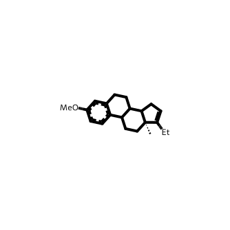 CCC1=CCC2C3CCc4cc(OC)ccc4C3CC[C@]12C